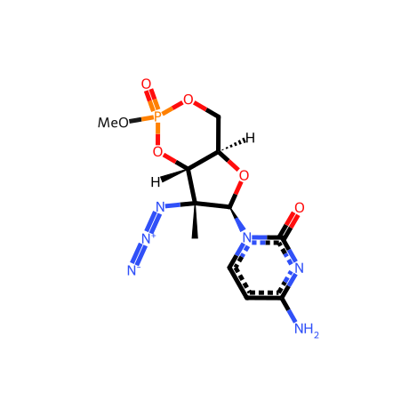 COP1(=O)OC[C@H]2O[C@@H](n3ccc(N)nc3=O)[C@](C)(N=[N+]=[N-])[C@@H]2O1